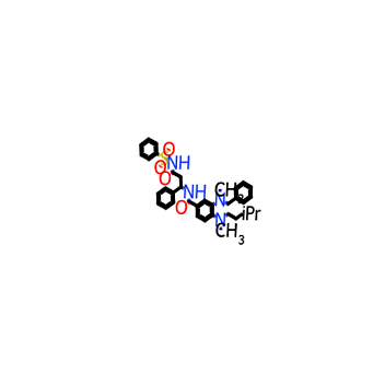 CC(C)CCN(C)c1ccc(C(=O)NC(CC(=O)NS(=O)(=O)c2ccccc2)c2ccccc2)cc1N(C)Cc1ccccc1